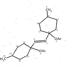 CC(=O)OC1(N=NC2(OC(C)=O)CCC(C)CC2)CCC(C)CC1